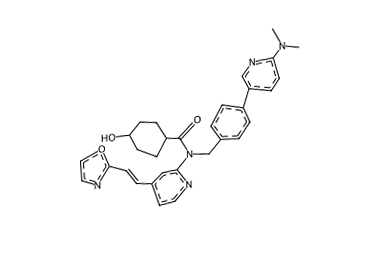 CN(C)c1ccc(-c2ccc(CN(C(=O)C3CCC(O)CC3)c3cc(C=Cc4ncco4)ccn3)cc2)cn1